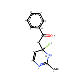 CSC1=NC=CC(F)(CC(=O)c2ccccc2)N1